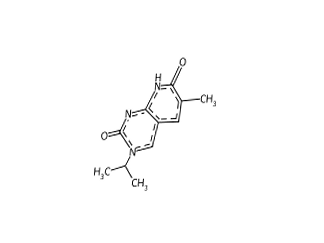 Cc1cc2cn(C(C)C)c(=O)nc2[nH]c1=O